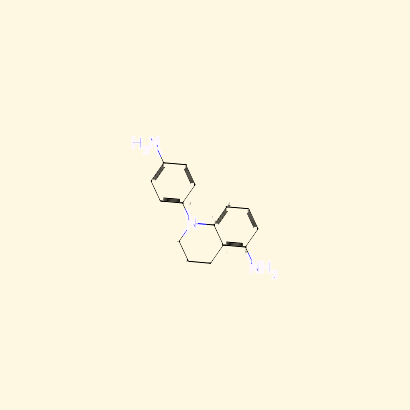 Nc1ccc(N2CCCc3c(N)cccc32)cc1